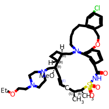 CCOCCN1CCN(C[C@]2(OC)/C=C/C[C@H](C)[C@@H](C)S(=O)(=O)NC(=O)c3ccc4c(c3)N(CCCCc3cc(Cl)ccc3CO4)C[C@@H]3CC[C@H]32)CC1